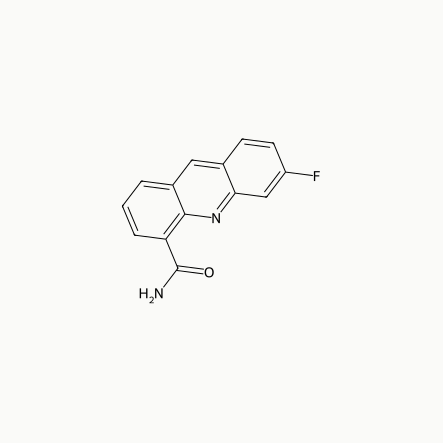 NC(=O)c1cccc2cc3ccc(F)cc3nc12